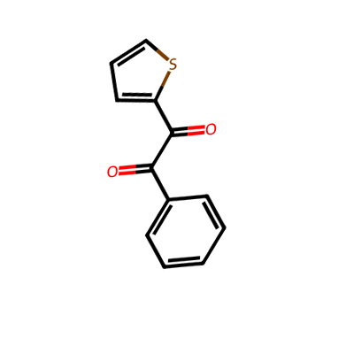 O=C(C(=O)c1cccs1)c1ccccc1